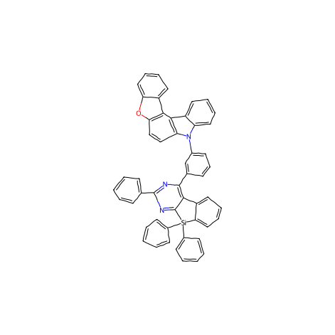 c1ccc(-c2nc(-c3cccc(-n4c5ccccc5c5c6c(ccc54)oc4ccccc46)c3)c3c(n2)[Si](c2ccccc2)(c2ccccc2)c2ccccc2-3)cc1